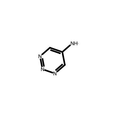 [NH]c1cnnnc1